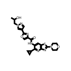 CC(O)Cn1cc(-c2nc(C(=O)Nc3cc4sc(N5CCOCC5)nc4nc3C3CC3)co2)cn1